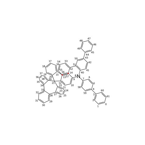 c1ccc(-c2ccc(N(c3ccc4c(c3)-c3ccccc3C43c4ccccc4-c4ccccc4-c4ccccc43)c3ccc(-c4ccccc4)cc3-c3ccccc3)cc2)cc1